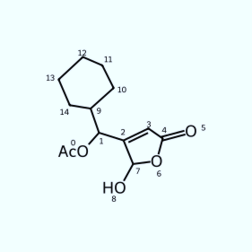 CC(=O)OC(C1=CC(=O)OC1O)C1CCCCC1